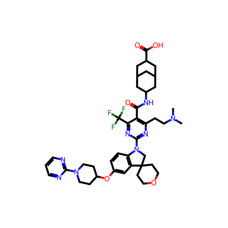 CN(C)CCc1nc(N2CC3(CCOCC3)c3cc(OC4CCN(c5ncccn5)CC4)ccc32)nc(C(F)(F)F)c1C(=O)NC1CC2CC(C1)CC(C(=O)O)C2